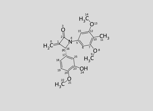 C=C1C(=O)N(c2cc(OC)c(C)c(OC)c2)[C@@H]1c1ccc(OC)c(O)c1